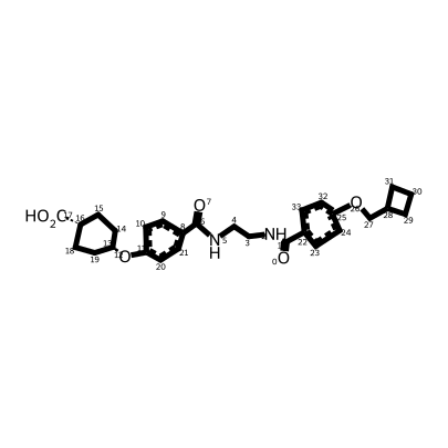 O=C(NCCNC(=O)c1ccc(O[C@H]2CC[C@@H](C(=O)O)CC2)cc1)c1ccc(OCC2CCC2)cc1